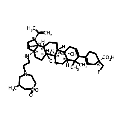 C=C(C)[C@@H]1CC[C@]2(NCCN3CCS(=O)(=O)CC(C)C3)CC[C@]3(C)[C@H](CC[C@@H]4[C@@]5(C)CC=C(C6=CC[C@@](CF)(C(=O)O)CC6)C(C)(C)[C@@H]5CC[C@]43C)[C@@H]12